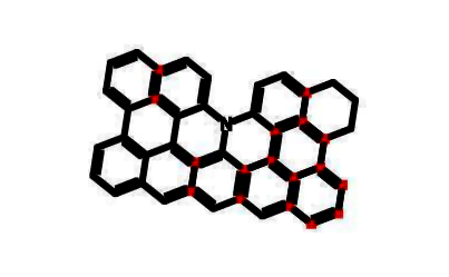 c1ccc(-c2cccc3cccc(-c4ccccc4N(c4ccccc4-c4cccc5ccccc45)c4ccccc4-c4cccc5cccc(C6CCCCC6)c45)c23)cc1